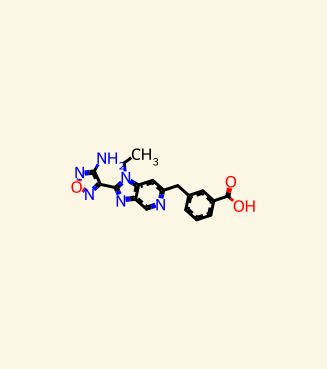 CCn1c(-c2nonc2N)nc2cnc(Cc3cccc(C(=O)O)c3)cc21